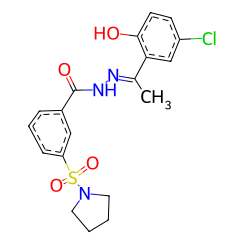 C/C(=N\NC(=O)c1cccc(S(=O)(=O)N2CCCC2)c1)c1cc(Cl)ccc1O